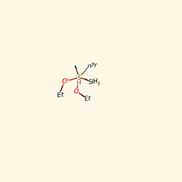 CCC[SH](C)([SiH3])(OCC)OCC